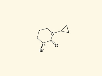 O=C1[C@@H](Br)CCCN1C1CC1